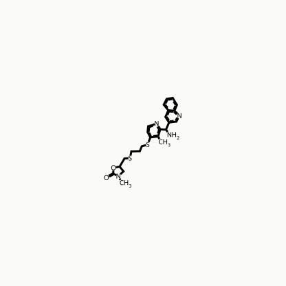 Cc1c(SCCCSCC2CN(C)C(=O)O2)ccnc1C(N)c1cnc2ccccc2c1